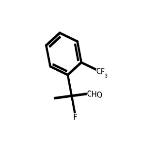 CC(F)(C=O)c1ccccc1C(F)(F)F